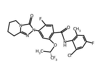 Cc1cc(F)cc(Cl)c1NC(=O)c1cc(F)c(-n2nc3n(c2=O)CCCC3)cc1O[C@@H](C)C(F)(F)F